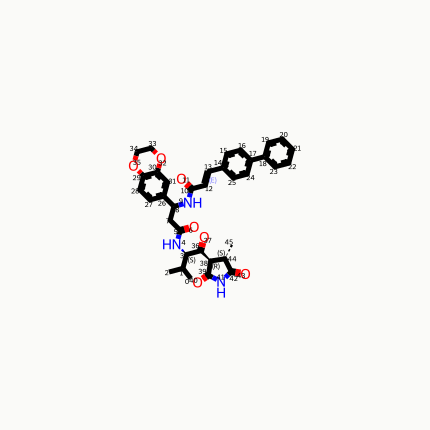 CC(C)[C@H](NC(=O)CC(NC(=O)/C=C/c1ccc(-c2ccccc2)cc1)c1ccc2c(c1)OCCO2)C(=O)[C@@H]1C(=O)NC(=O)[C@H]1C